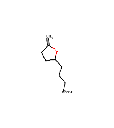 C=C1CCC(CCCCCCCC)O1